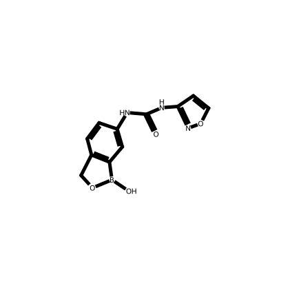 O=C(Nc1ccc2c(c1)B(O)OC2)Nc1ccon1